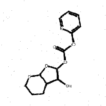 O=C(Oc1ccccn1)OC1OC2OCCCC2C1O